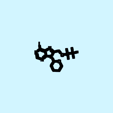 CC(C)(C)[Si](C)(C)OCc1nc2c(I)ncnc2n1C1CCCCO1